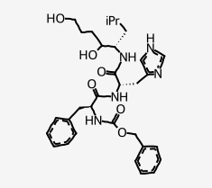 CC(C)C[C@H](NC(=O)[C@H](Cc1c[nH]cn1)NC(=O)[C@H](Cc1ccccc1)NC(=O)OCc1ccccc1)C(O)CCCO